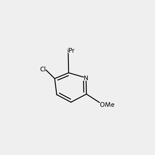 COc1ccc(Cl)c(C(C)C)n1